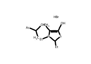 Br.CC(=O)C(C)O.CCC1SC(O)=C(C)N1CC